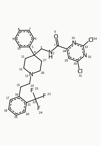 O=C(NCC1(c2ccccc2)CCN(CCc2ccccc2C(F)(F)F)CC1)c1cc(Cl)nc(Cl)n1